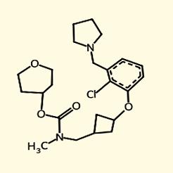 CN(CC1CC(Oc2cccc(CN3CCCC3)c2Cl)C1)C(=O)OC1CCOCC1